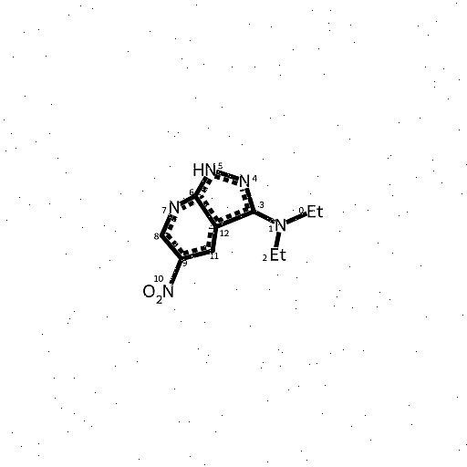 CCN(CC)c1n[nH]c2ncc([N+](=O)[O-])cc12